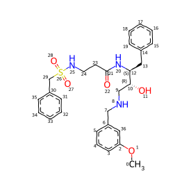 COc1cccc(CNC[C@@H](O)[C@H](Cc2ccccc2)NC(=O)CCNS(=O)(=O)Cc2ccccc2)c1